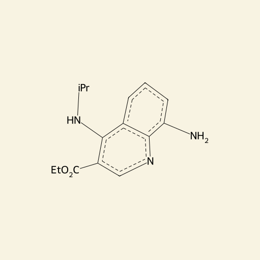 CCOC(=O)c1cnc2c(N)cccc2c1NC(C)C